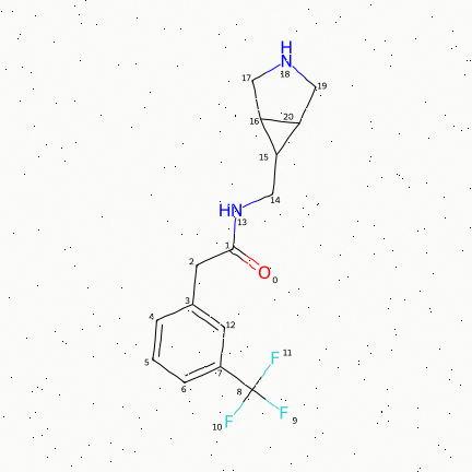 O=C(Cc1cccc(C(F)(F)F)c1)NCC1C2CNCC21